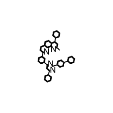 Cc1cc(-c2ccccc2)c2ccc3ccc(-c4cccc(-c5cc(-c6ccccc6)nc(-c6ccc(-c7ccccc7)cc6)n5)c4)nc3c2n1